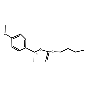 CCCCCC(=O)O[C@H](C)c1ccc(OC)cc1